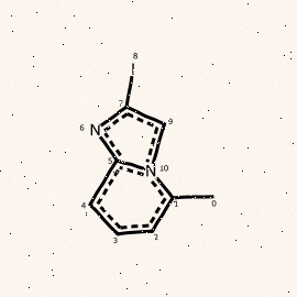 Cc1cccc2nc(I)cn12